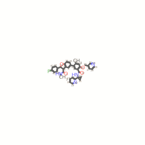 CNC(=O)C1c2cc(-c3cc(C(=O)NC4(c5ccccn5)CC4)c(OCc4cccnc4)cc3C)ccc2OC1c1ccc(F)cc1